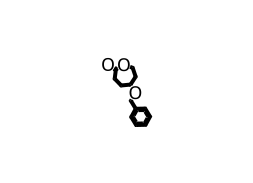 O=C1CCC(OCc2ccccc2)CCO1